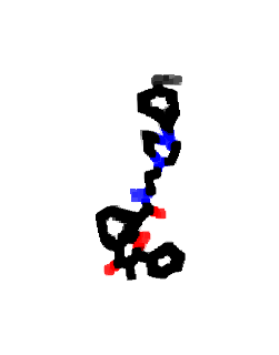 COc1ccc(N2CCN(CCCNC(=O)c3cccc4c(=O)c(C)c(-c5ccccc5)oc34)CC2)cc1